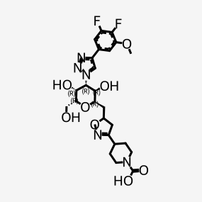 COc1cc(-c2cn([C@H]3[C@@H](O)[C@@H](CO)O[C@H](CC4CC(C5CCN(C(=O)O)CC5)=NO4)[C@@H]3O)nn2)cc(F)c1F